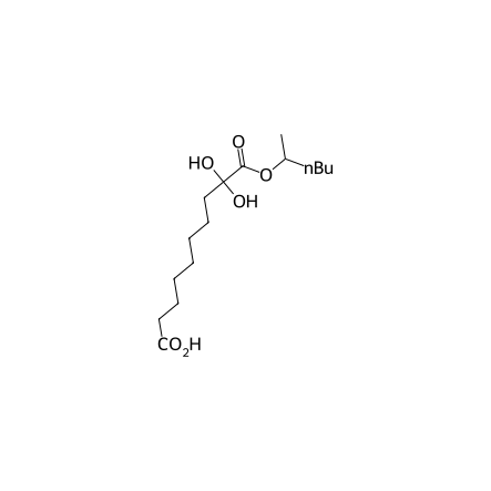 CCCCC(C)OC(=O)C(O)(O)CCCCCCCC(=O)O